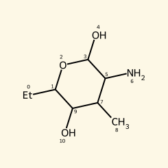 CCC1OC(O)C(N)C(C)C1O